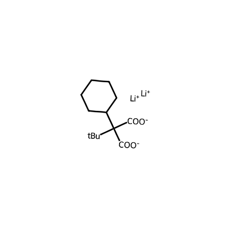 CC(C)(C)C(C(=O)[O-])(C(=O)[O-])C1CCCCC1.[Li+].[Li+]